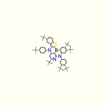 CC(C)(C)c1ccc(N2c3cc(C(C)(C)C)nc4c3B(c3cc5c(cc3N4c3ccc4c(c3)C(C)(C)CC4(C)C)C(C)(C)CC5(C)C)c3sc4ccc(C(C)(C)C)cc4c32)cc1